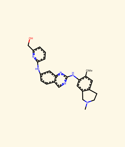 COc1cc2c(cc1Nc1ncc3ccc(Nc4cccc(CO)n4)cc3n1)CN(C)CC2